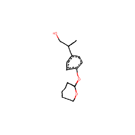 CC(CO)c1ccc(OC2CCCCO2)cc1